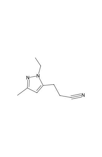 CCn1nc(C)cc1CCC#N